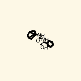 O=C(NC1C2CC3CC(C2)CC1C3)N[C@H](CO)c1ccccc1